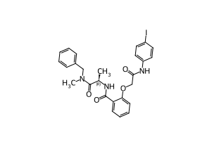 C[C@@H](NC(=O)c1ccccc1OCC(=O)Nc1ccc(I)cc1)C(=O)N(C)Cc1ccccc1